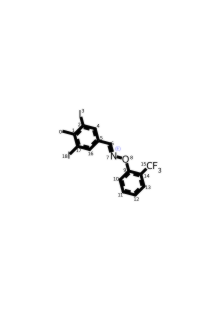 Cc1c(I)cc(/C=N/Oc2ccccc2C(F)(F)F)cc1I